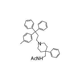 CC(=O)NCC1(c2ccccc2)CCN(CCC(c2ccccc2)(c2ccccc2)c2ccc(C)cc2)CC1